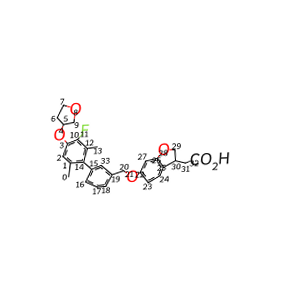 Cc1cc(OC2CCOC2)c(F)c(C)c1-c1cccc(COc2ccc3c(c2)OCC3CC(=O)O)c1